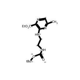 CCOC(=O)c1ncc(C)nc1NCCNC(=O)OC(C)(C)C